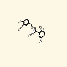 CCC/C(=N\OCc1ccc(Cl)c(Cl)c1)c1cc(Cl)ccc1C(F)(F)F